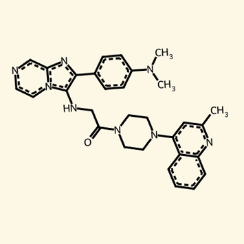 Cc1cc(N2CCN(C(=O)CNc3c(-c4ccc(N(C)C)cc4)nc4cnccn34)CC2)c2ccccc2n1